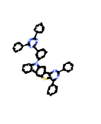 c1ccc(-c2nc(-c3ccccc3)nc(-c3cccc(-n4c5ccccc5c5cc6sc7c(-c8ccccc8)nc(-c8ccccc8)nc7c6cc54)c3)n2)cc1